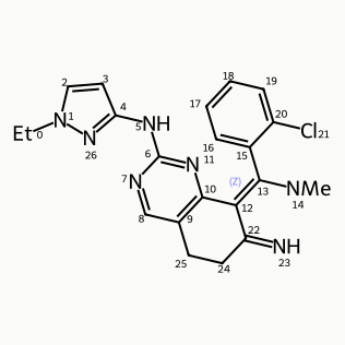 CCn1ccc(Nc2ncc3c(n2)/C(=C(/NC)c2ccccc2Cl)C(=N)CC3)n1